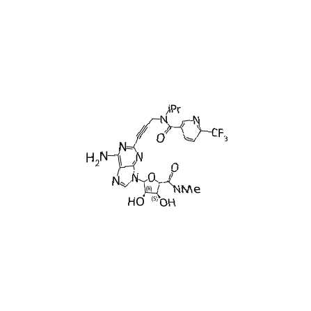 CNC(=O)C1OC(n2cnc3c(N)nc(C#CCN(C(=O)c4ccc(C(F)(F)F)nc4)C(C)C)nc32)[C@H](O)[C@@H]1O